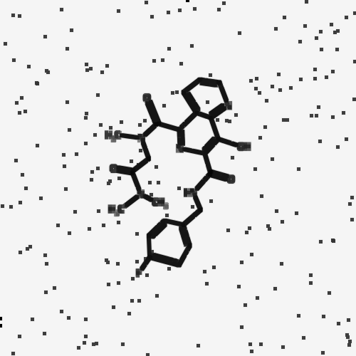 CN(C)C(=O)CN(C)C(=O)c1nc(C(=O)NCc2ccc(F)cc2)c(O)c2ncccc12